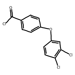 O=C(Cl)c1ccc(Oc2ccc(Cl)c(Cl)c2)cc1